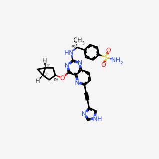 C[C@@H](Nc1nc(O[C@H]2C[C@@H]3C[C@@H]3C2)c2nc(C#Cc3c[nH]cn3)ccc2n1)c1ccc(S(N)(=O)=O)cc1